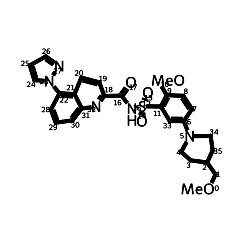 COCC1CCN(c2ccc(OC)c(S(=O)(=O)NC(=O)c3ccc4c(-n5cccn5)cccc4n3)c2)CC1